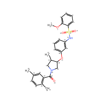 COc1ccccc1S(=O)(=O)Nc1cccc(OC2CN(C(=O)c3cc(C)ccc3C)CC2C)c1